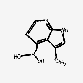 Cc1c[nH]c2nccc(B(O)O)c12